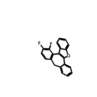 Fc1ccc2c(c1F)-c1c(oc3ccccc13)-c1ccccc1C2